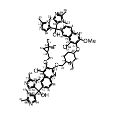 COc1nc2ccc(C(O)(c3cnc(C)n3C)c3cnc(C)n3C)cc2c(Cl)c1OC1CCC(COc2nc3ccc(C(O)(c4cnc(C)n4C)c4cnc(C)n4C)cc3c(Cl)c2OCC2CC2(F)F)N(C)C1